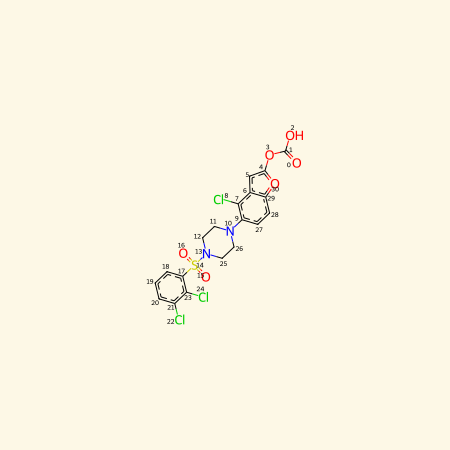 O=C(O)Oc1cc2c(Cl)c(N3CCN(S(=O)(=O)c4cccc(Cl)c4Cl)CC3)ccc2o1